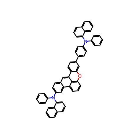 c1ccc(N(c2ccc(-c3ccc4c(c3)Oc3cccc5c3c-4cc3ccc(N(c4ccccc4)c4cccc6ccccc46)cc35)cc2)c2cccc3ccccc23)cc1